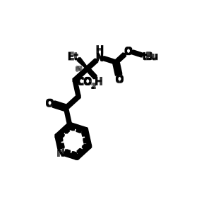 CC[C@@](CCC(=O)c1cccnc1)(NC(=O)OC(C)(C)C)C(=O)O